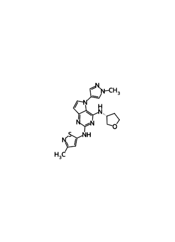 Cc1cc(Nc2nc(N[C@@H]3CCOC3)c3c(ccn3-c3cnn(C)c3)n2)sn1